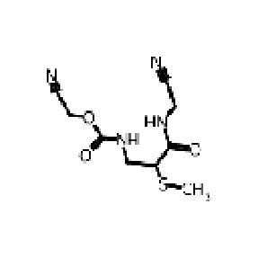 CSC(CNC(=O)OCC#N)C(=O)NCC#N